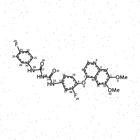 COc1cc2nccc(Oc3ccc(NC(=O)NC(=O)Nc4ccc(F)cc4)cc3F)c2cc1OC